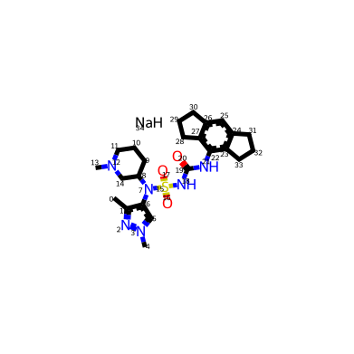 Cc1nn(C)cc1N(C1CCCN(C)C1)S(=O)(=O)NC(=O)Nc1c2c(cc3c1CCC3)CCC2.[NaH]